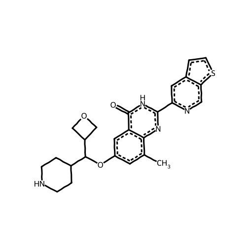 Cc1cc(OC(C2CCNCC2)C2COC2)cc2c(=O)[nH]c(-c3cc4ccsc4cn3)nc12